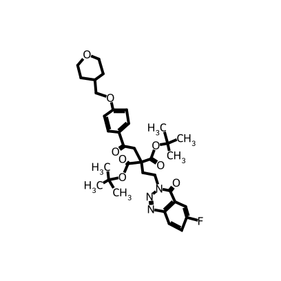 CC(C)(C)OC(=O)C(CCn1nnc2ccc(F)cc2c1=O)(CC(=O)c1ccc(OCC2CCOCC2)cc1)C(=O)OC(C)(C)C